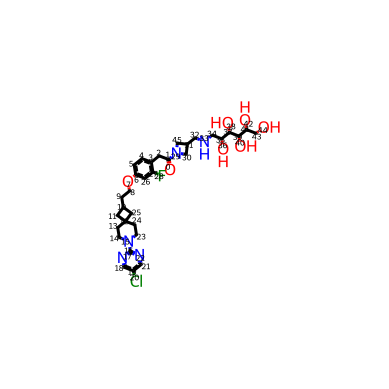 O=C(Cc1ccc(OCCC2CC3(CCN(c4ncc(Cl)cn4)CC3)C2)cc1F)N1CC(CNCC(O)C(O)C(O)C(O)CO)C1